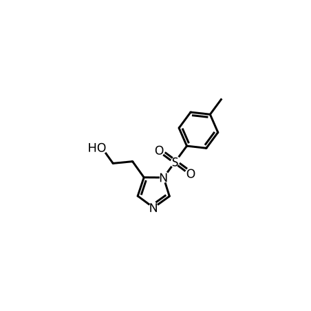 Cc1ccc(S(=O)(=O)n2cncc2CCO)cc1